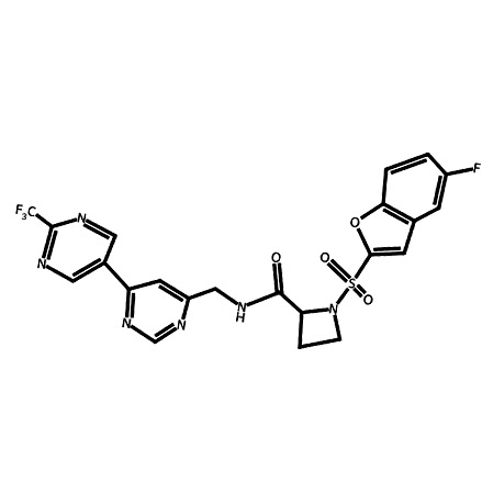 O=C(NCc1cc(-c2cnc(C(F)(F)F)nc2)ncn1)C1CCN1S(=O)(=O)c1cc2cc(F)ccc2o1